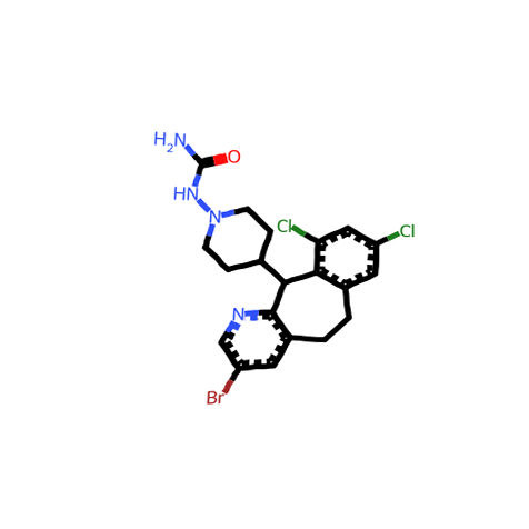 NC(=O)NN1CCC(C2c3ncc(Br)cc3CCc3cc(Cl)cc(Cl)c32)CC1